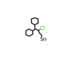 ClC(C[CH2][Sn])C(C1CCCCC1)C1CCCCC1